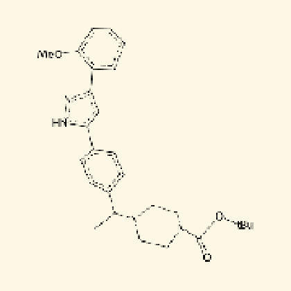 COc1ccccc1-c1cc(-c2ccc(C(C)N3CCN(C(=O)OC(C)(C)C)CC3)cc2)[nH]n1